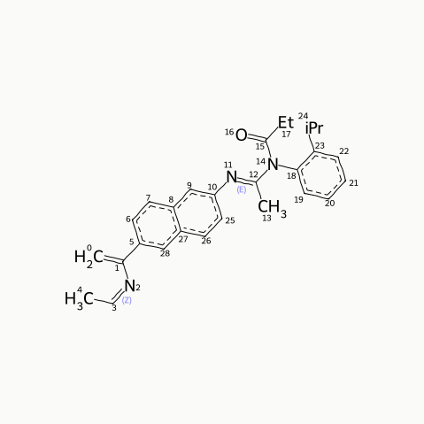 C=C(/N=C\C)c1ccc2cc(/N=C(\C)N(C(=O)CC)c3ccccc3C(C)C)ccc2c1